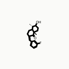 C[C@@H]1C(O)CC[C@]2(C)C(=O)/C(=C\c3cccc(F)c3)CCC12